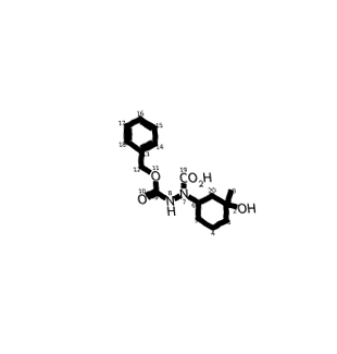 CC1(O)CCCC(N(NC(=O)OCc2ccccc2)C(=O)O)C1